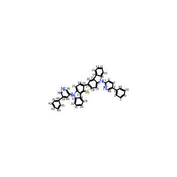 c1ccc(-c2ccc(-n3c4ccccc4c4cc5c(cc43)sc3c5ccc4c3c3ccccc3n4-c3cncc(-c4ccccc4)c3)nc2)cc1